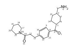 NCC1CCC(C(=O)c2ccc(CCC(=O)N3CCCCC3)cc2)CC1